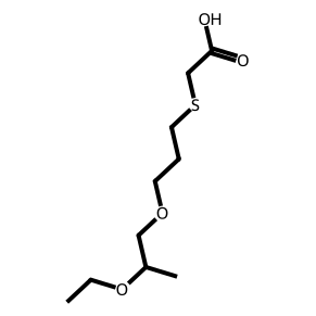 CCOC(C)COCCCSCC(=O)O